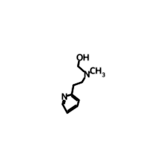 CN(CO)CCc1ccccn1